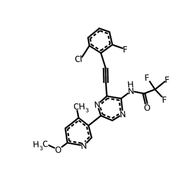 COc1cc(C)c(-c2cnc(NC(=O)C(F)(F)F)c(C#Cc3c(F)cccc3Cl)n2)cn1